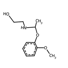 COc1ccccc1OC(C)NCCO